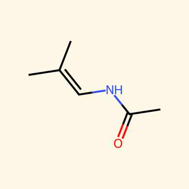 CC(=O)NC=C(C)C